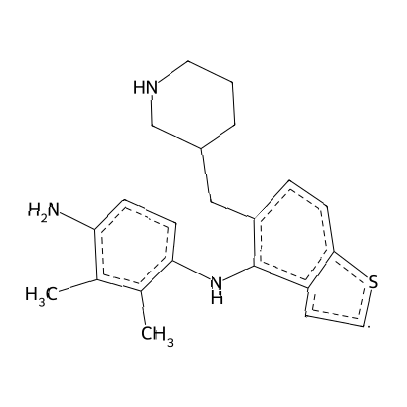 Cc1c(N)ccc(Nc2c(CC3CCCNC3)ccc3s[c]cc23)c1C